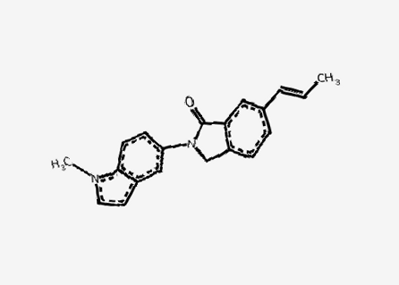 CC=Cc1ccc2c(c1)C(=O)N(c1ccc3c(ccn3C)c1)C2